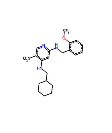 O=[N+]([O-])c1cnc(NCc2ccccc2OC(F)(F)F)cc1NCC1CCCCC1